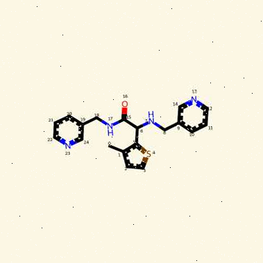 Cc1ccsc1C(NCc1cccnc1)C(=O)NCc1cccnc1